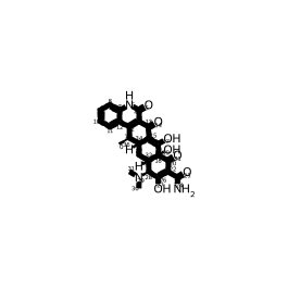 C[C@H]1c2c(c(=O)[nH]c3ccccc23)C(=O)C2=C(O)[C@]3(O)C(=O)C(C(N)=O)=C(O)[C@@H](N(C)C)[C@@H]3C[C@@H]21